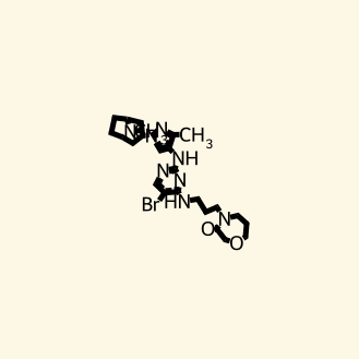 Cc1nn(C2CC3CCC(C2)N3C)cc1Nc1ncc(Br)c(NCCCN2CCCOCC2=O)n1